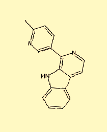 Cc1ccc(-c2nccc3c2[nH]c2ccccc23)cn1